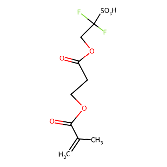 C=C(C)C(=O)OCCC(=O)OCC(F)(F)S(=O)(=O)O